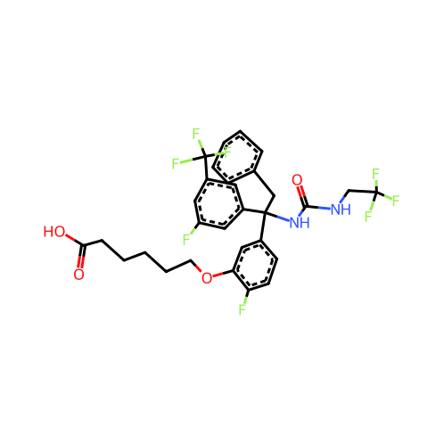 O=C(O)CCCCCOc1cc(C(Cc2ccccc2)(NC(=O)NCC(F)(F)F)c2cc(F)cc(C(F)(F)F)c2)ccc1F